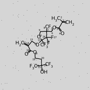 C=C(C)C(=O)OCC1(C(F)(F)F)COC(OCC(=C)C(=O)OCCC(O)(C(F)(F)F)C(F)(F)F)(C(F)(F)F)C1(F)F